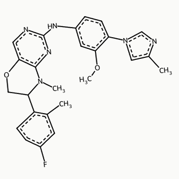 COc1cc(Nc2ncc3c(n2)N(C)C(c2ccc(F)cc2C)CO3)ccc1-n1cnc(C)c1